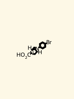 O=C(O)N1C[C@@H]2C[C@H]1CN2c1ccc(Br)cc1